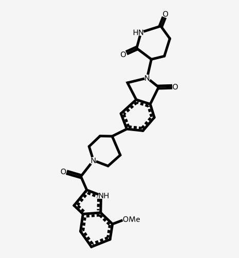 COc1cccc2cc(C(=O)N3CCC(c4ccc5c(c4)CN(C4CCC(=O)NC4=O)C5=O)CC3)[nH]c12